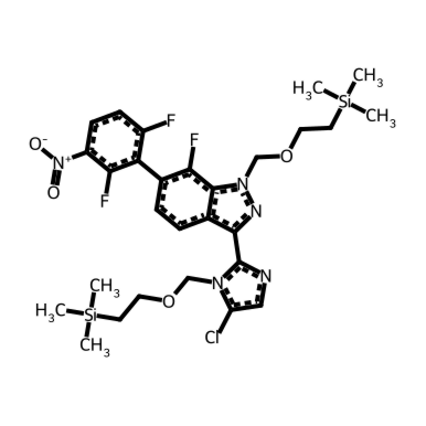 C[Si](C)(C)CCOCn1c(Cl)cnc1-c1nn(COCC[Si](C)(C)C)c2c(F)c(-c3c(F)ccc([N+](=O)[O-])c3F)ccc12